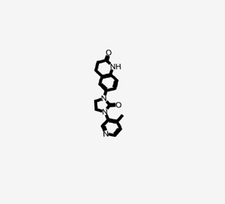 Cc1ccncc1N1CCN(c2ccc3c(c2)CCC(=O)N3)C1=O